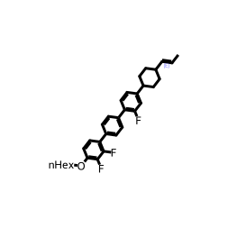 C/C=C/C1CCC(c2ccc(-c3ccc(-c4ccc(OCCCCCC)c(F)c4F)cc3)c(F)c2)CC1